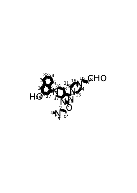 C[C@H](CN(C)C)Oc1nc2c(c(N3CCN(C=CC=O)C[C@@H]3C)n1)CCN(c1cc(O)cc3ccccc13)C2